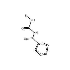 O=C(NF)NC(=O)c1ccccc1